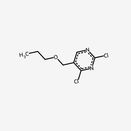 CCCOCc1cnc(Cl)nc1Cl